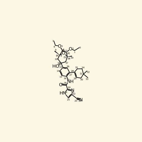 CCO[C@@H]1[C@H](OCC)[C@@]2(C)C[C@](O)(c3ccc(NC(=O)c4nc(C#N)c[nH]4)c(C4=CCC(C)(C)CC4)c3)C[C@]1(C)O2